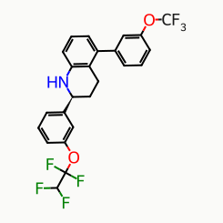 FC(F)C(F)(F)Oc1cccc([C@@H]2CCc3c(cccc3-c3cccc(OC(F)(F)F)c3)N2)c1